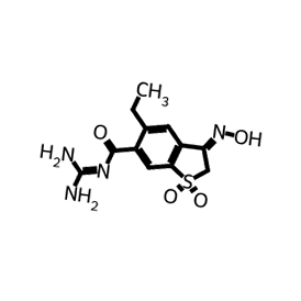 CCc1cc2c(cc1C(=O)N=C(N)N)S(=O)(=O)CC2=NO